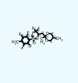 Cc1c(F)c(F)c(S(=O)(=O)OC(CC2(C)OCC(C)CO2)C(F)(F)F)c(F)c1F